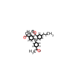 CCCc1cc[c]([Bi]([c]2ccc(C(C)=O)cc2)[c]2ccc(C(C)=O)cc2)c(COC)c1